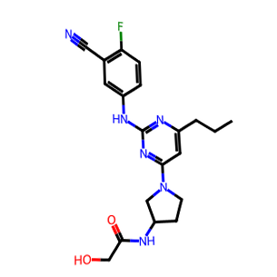 CCCc1cc(N2CCC(NC(=O)CO)C2)nc(Nc2ccc(F)c(C#N)c2)n1